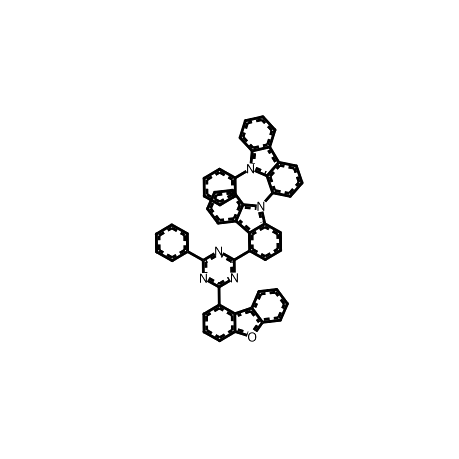 c1ccc(-c2nc(-c3cccc4oc5ccccc5c34)nc(-c3cccc4c3c3ccccc3n4-c3cccc4c5ccccc5n(-c5ccccc5)c34)n2)cc1